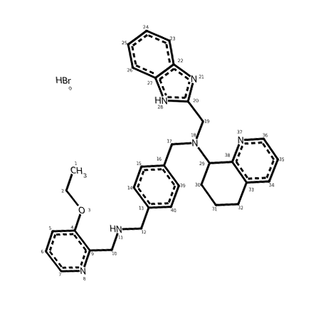 Br.CCOc1cccnc1CNCc1ccc(CN(Cc2nc3ccccc3[nH]2)C2CCCc3cccnc32)cc1